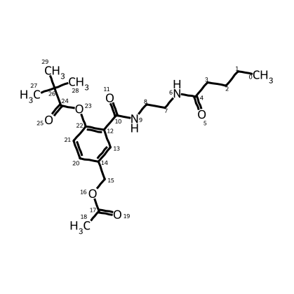 CCCCC(=O)NCCNC(=O)c1cc(COC(C)=O)ccc1OC(=O)C(C)(C)C